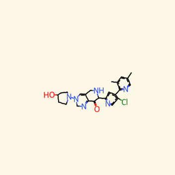 Cc1cnc(-c2cc(C3NCC4=CN(N5CCC(O)CC5)CN=C4C3=O)ncc2Cl)c(C)c1